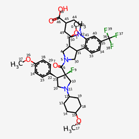 COCC1CN(C(=O)[C@]2(F)CN(C3CCC(OC)CC3)C[C@H]2c2ccc(OC)cc2)CC1c1ccc(C(F)(F)F)cc1N1CCC(C(=O)O)CC1